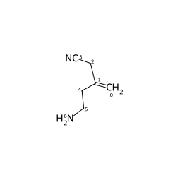 C=C(CC#N)CCN